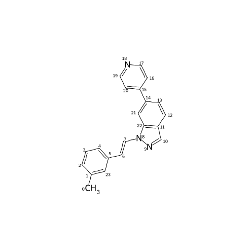 Cc1cccc(C=Cn2ncc3ccc(-c4ccncc4)cc32)c1